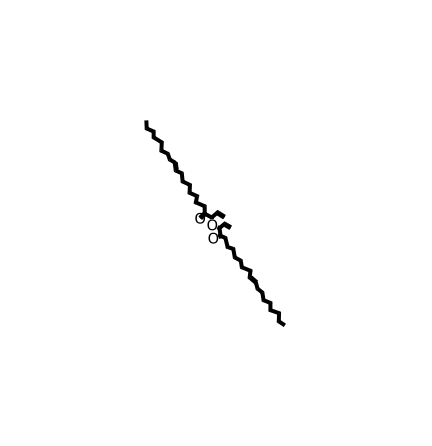 C=CC(OC(C=C)C(=O)CCCCCCCC=CCCCCCCCC)C(=O)CCCCCCCC=CCCCCCCCC